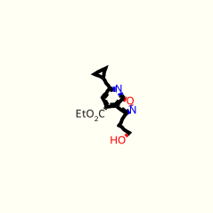 CCOC(=O)c1cc(C2CC2)nc2onc(CCO)c12